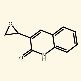 O=c1[nH]c2ccccc2cc1C1CO1